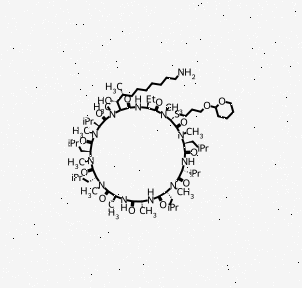 CC[C@@H]1NC(=O)C([C@H](O)[C@H](C)CCCCCCCN)N(C)C(=O)[C@H](C(C)C)N(C)C(=O)[C@H](CC(C)C)N(C)C(=O)[C@@H](CC(C)C)N(C)C(=O)C(C)NC(=O)[C@@H](C)NC(=O)[C@@H](CC(C)C)N(C)C(=O)[C@@H](C(C)C)NC(=O)[C@H](CC(C)C)N(C)C(=O)[C@@H](SCCCOC2CCCCO2)N(C)C1=O